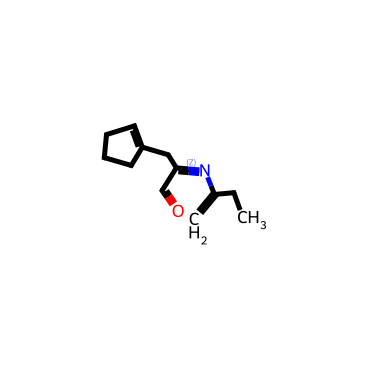 C=C(CC)/N=C(\C=O)CC1=CCCC1